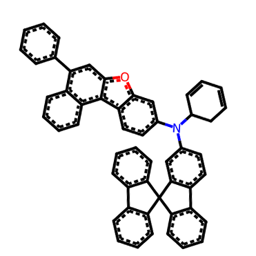 C1=CCC(N(c2ccc3c(c2)C2(c4ccccc4-c4ccccc42)c2ccccc2-3)c2ccc3c(c2)oc2cc(-c4ccccc4)c4ccccc4c23)C=C1